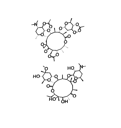 CC[C@H]1OC(=O)[C@H](C)[C@@H](O[C@H]2C[C@@](C)(OC)[C@@H](O)[C@H](C)O2)C(C)[C@@H](O[C@@H]2O[C@H](C)C[C@H](N(C)C)[C@H]2O)[C@](C)(OC)C[C@@H](C)C(=O)[C@H](C)[C@@H](O)[C@]1(C)O.CO[C@H]1C[C@H](O[C@H]2[C@H](C)[C@@H](O[C@@H]3O[C@H](C)C[C@H](N(C)C)[C@H]3OC(C)=O)[C@@H](C)C[C@]3(CO3)C(=O)[C@H](C)[C@@H](OC(C)=O)[C@@H](C)[C@@H](C)OC(=O)[C@@H]2C)O[C@@H](C)[C@@H]1OC(C)=O